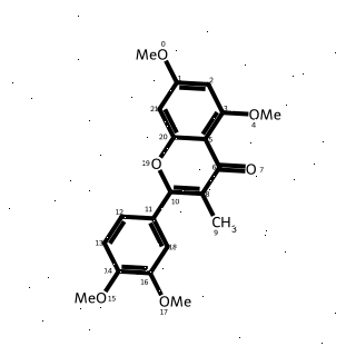 COc1cc(OC)c2c(=O)c(C)c(-c3ccc(OC)c(OC)c3)oc2c1